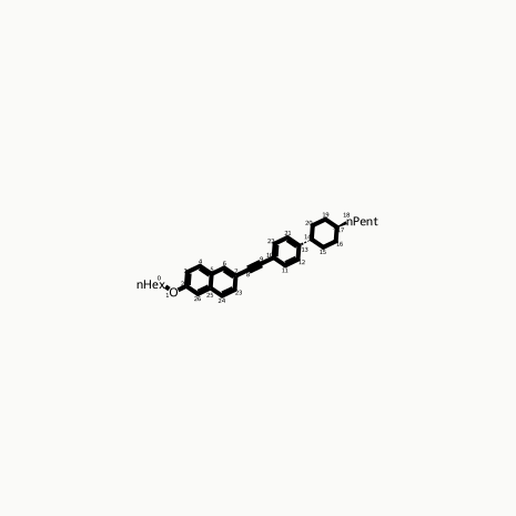 CCCCCCOc1ccc2cc(C#Cc3ccc([C@H]4CC[C@H](CCCCC)CC4)cc3)ccc2c1